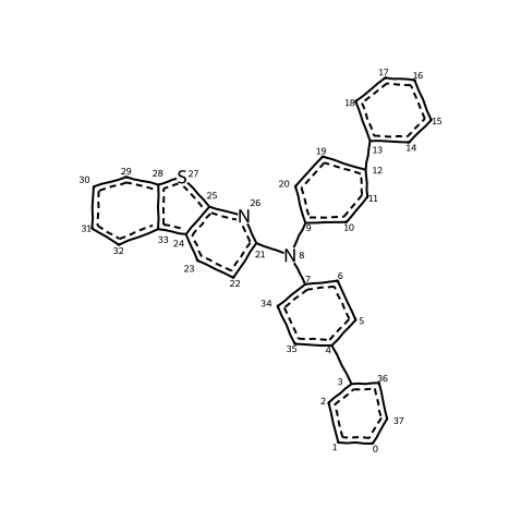 c1ccc(-c2ccc(N(c3ccc(-c4ccccc4)cc3)c3ccc4c(n3)sc3ccccc34)cc2)cc1